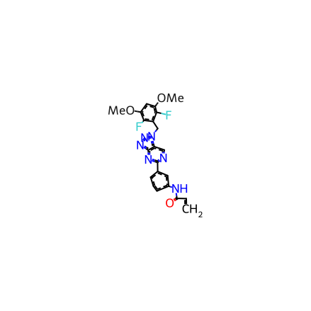 C=CC(=O)Nc1cccc(-c2ncc3c(nnn3Cc3c(F)c(OC)cc(OC)c3F)n2)c1